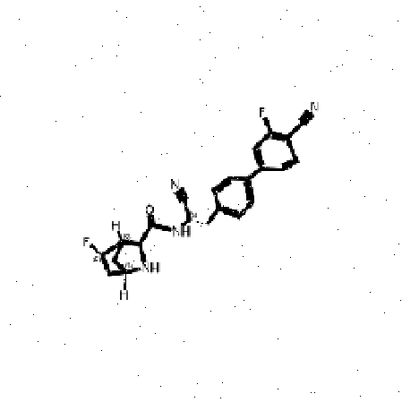 N#Cc1ccc(-c2ccc(C[C@@H](C#N)NC(=O)C3N[C@@H]4C[C@@H](F)[C@H]3C4)cc2)cc1F